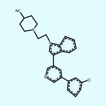 N#CC1CCN(CCn2cc(-c3cncc(-c4cccc(Cl)c4)c3)c3ccccc32)CC1